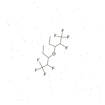 CCC(OC(CC)C(F)C(F)(F)F)C(F)C(F)(F)F